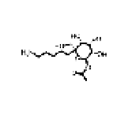 CC(=O)OC1O[C@@](CO)(CCCCCN)[C@H](O)[C@H](O)[C@H]1O